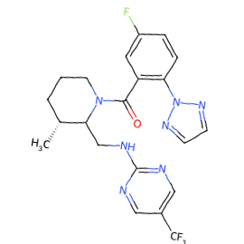 C[C@@H]1CCCN(C(=O)c2cc(F)ccc2-n2nccn2)C1CNc1ncc(C(F)(F)F)cn1